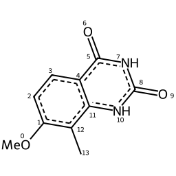 COc1ccc2c(=O)[nH]c(=O)[nH]c2c1C